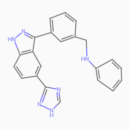 c1ccc(NCc2cccc(-c3n[nH]c4ccc(-c5nc[nH]n5)cc34)c2)cc1